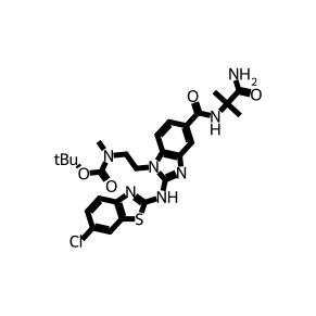 CN(CCn1c(Nc2nc3ccc(Cl)cc3s2)nc2cc(C(=O)NC(C)(C)C(N)=O)ccc21)C(=O)OC(C)(C)C